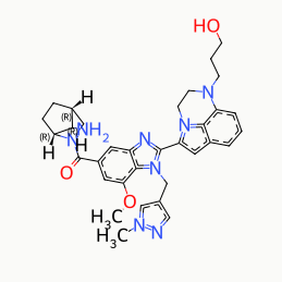 COc1cc(C(=O)N2C[C@H]3CC[C@@H]2[C@@H]3N)cc2nc(-c3cc4cccc5c4n3CCN5CCCO)n(Cc3cnn(C)c3)c12